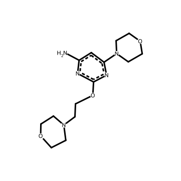 Nc1cc(N2CCOCC2)nc(OCCN2CCOCC2)n1